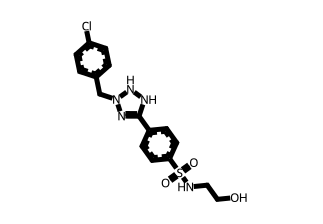 O=S(=O)(NCCO)c1ccc(C2=NN(Cc3ccc(Cl)cc3)NN2)cc1